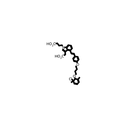 CC1=CC=CC(C)(Cl)C1OCCCCOc1ccc(C=Cc2cccc3c2c(CC(=O)O)cn3CCCC(=O)O)cc1